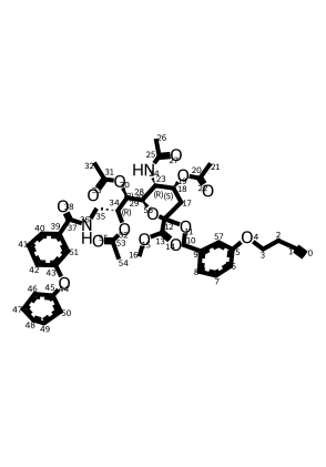 C#CCCOc1cccc(COC2(C(=O)OC)C[C@H](OC(C)=O)[C@@H](NC(C)=O)[C@H]([C@H](OC(C)=O)[C@@H](CNC(=O)c3cccc(Oc4ccccc4)c3)OC(C)=O)O2)c1